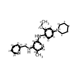 COc1cc(N2CCCCC2)ccc1Nc1cc(NCc2ccccn2)c(C)cn1